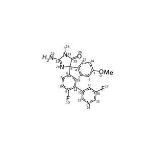 COc1ccc(C2(c3ccc(F)c(-c4cncc(F)c4)c3)N=C(N)N(C)C2=O)cc1